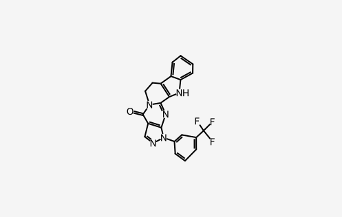 O=c1c2cnn(-c3cccc(C(F)(F)F)c3)c2nc2n1CCc1c-2[nH]c2ccccc12